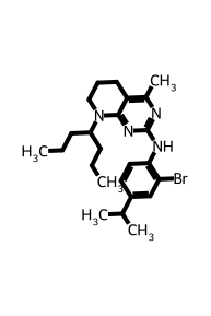 CCCC(CCC)N1CCCc2c(C)nc(Nc3ccc(C(C)C)cc3Br)nc21